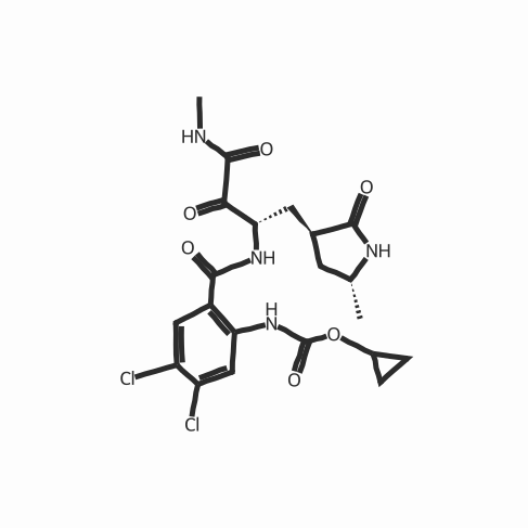 CNC(=O)C(=O)[C@H](C[C@@H]1C[C@@H](C)NC1=O)NC(=O)c1cc(Cl)c(Cl)cc1NC(=O)OC1CC1